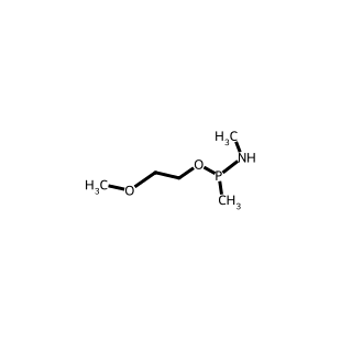 CNP(C)OCCOC